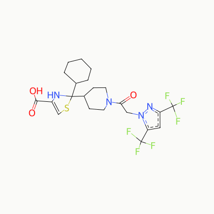 O=C(O)C1=CSC(C2CCCCC2)(C2CCN(C(=O)Cn3nc(C(F)(F)F)cc3C(F)(F)F)CC2)N1